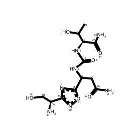 CC(O)[C@H](NC(=O)NC(CC(N)=O)c1nc([C@@H](N)CO)no1)C(N)=O